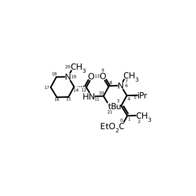 CCOC(=O)/C(C)=C/C(C(C)C)N(C)C(=O)C(NC(=O)[C@@H]1CCCCN1C)C(C)(C)C